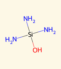 N[Si](N)(N)O